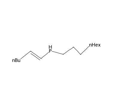 CCCCC=CPCCCCCCCCC